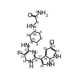 NC(=O)CN[C@@H]1CCC[C@H](NC2=C(F)CNC(C3=CNC4NC=C(Cl)C=C34)=N2)C1